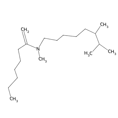 C=C(CCCCCC)N(C)CCCCCC(C)C(C)C